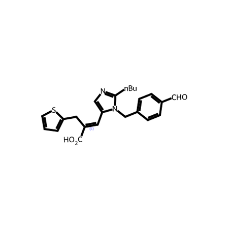 CCCCc1ncc(/C=C(\Cc2cccs2)C(=O)O)n1Cc1ccc(C=O)cc1